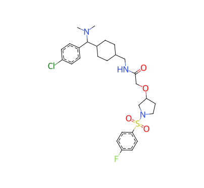 CN(C)C(c1ccc(Cl)cc1)C1CCC(CNC(=O)COC2CCN(S(=O)(=O)c3ccc(F)cc3)C2)CC1